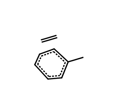 C=C.Cc1ccccc1